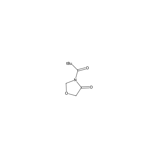 CC(C)(C)C(=O)N1COCC1=O